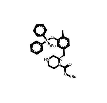 Cc1ccc(C[C@@H]2CNCCN2C(=O)OC(C)(C)C)cc1O[Si](c1ccccc1)(c1ccccc1)C(C)(C)C